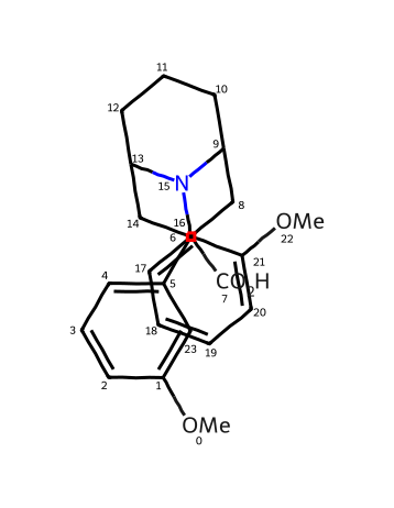 COc1cccc(C2(C(=O)O)CC3CCCC(C2)N3c2ccccc2OC)c1